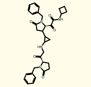 O=C(NC1CCC1)C(=O)[C@H]1C(C2CC2NCC(=O)[C@H]2CCC(=O)N2Cc2ccccc2)CC(=O)N1Cc1ccccc1